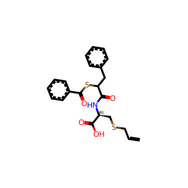 C=CCSC[C@H](NC(=O)C(Cc1ccccc1)SC(=O)c1ccccc1)C(=O)O